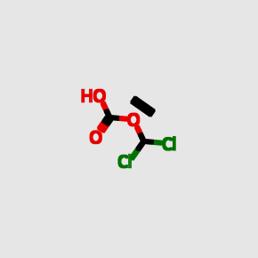 C=C.O=C(O)OC(Cl)Cl